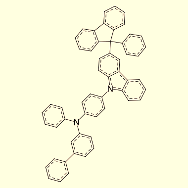 c1ccc(-c2cccc(N(c3ccccc3)c3ccc(-n4c5ccccc5c5cc(C6(c7ccccc7)c7ccccc7-c7ccccc76)ccc54)cc3)c2)cc1